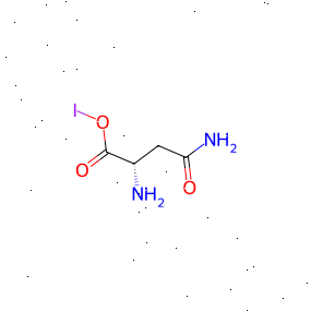 NC(=O)C[C@H](N)C(=O)OI